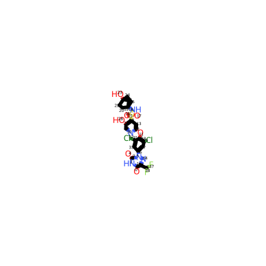 O=c1[nH]c(=O)n(-c2cc(Cl)c(Oc3cc(S(=O)(=O)NC45CCC(O)(CC4)C5)c(O)cn3)c(Cl)c2)nc1C(F)F